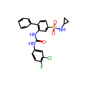 O=C(Nc1ccc(F)c(Cl)c1)Nc1cc(S(=O)(=O)NC2CC2)ccc1-c1ccccc1